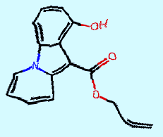 C=CCOC(=O)c1c2c(O)cccc2n2ccccc12